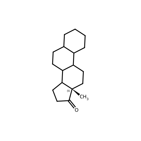 C[C@]12CCC3C4CCCCC4CCC3C1CCC2=O